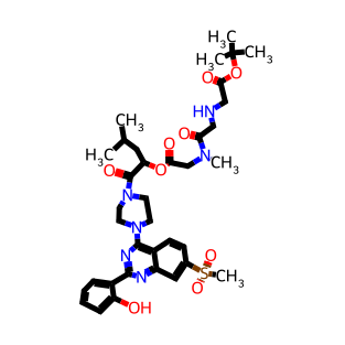 CC(C)CC(OC(=O)CN(C)C(=O)CNCC(=O)OC(C)(C)C)C(=O)N1CCN(c2nc(-c3ccccc3O)nc3cc(S(C)(=O)=O)ccc23)CC1